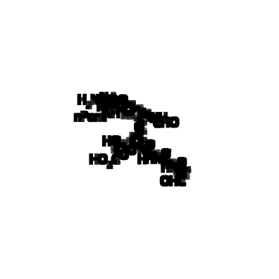 CCCCCNc1nc(N)nc2ccn(Cc3ccc(CN(CCNC=O)CCOCc4ccc(OC5CC(O)CC(C(=O)O)O5)c(NC(=O)CCNC(=O)CCNC(=O)C(C)(C)CC=O)c4)cc3OC)c12